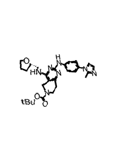 Cc1nccn1-c1ccc(Nc2nc3c(c(NC[C@@H]4CCCO4)n2)CN(C(=O)OC(C)(C)C)CC3)cc1